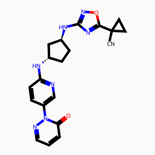 N#CC1(c2nc(N[C@H]3CC[C@H](Nc4ccc(-n5ncccc5=O)cn4)C3)no2)CC1